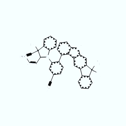 C#CC1(C)c2ccccc2N(c2cc(C#N)ccc2-c2cccc3sc4cc5c(cc4c23)-c2ccccc2C5(C)C)C1/C=C\C